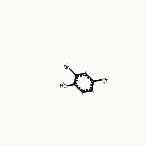 [CH2]C(C)c1ccc(C#N)c(Br)c1